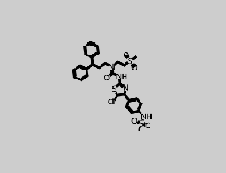 CS(=O)(=O)CCN(CCC(c1ccccc1)c1ccccc1)C(=O)Nc1nc(-c2ccc(NS(C)(=O)=O)cc2)c(Cl)s1